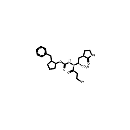 CC(C)CCC(=O)N(NC(=O)OC1CCCC1Cc1ccccc1)[C@@H](CC1CCNC1=O)C(=O)O